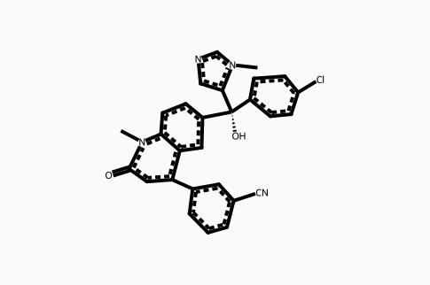 Cn1cncc1[C@@](O)(c1ccc(Cl)cc1)c1ccc2c(c1)c(-c1cccc(C#N)c1)cc(=O)n2C